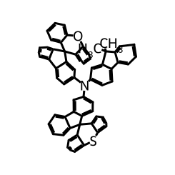 CC1(C)c2ccccc2-c2ccc(N(c3ccc4c(c3)-c3ccccc3C43c4ccccc4Sc4ccccc43)c3ccc4c(c3)C3(c5ccccc5Oc5ccccc53)c3ccccc3-4)cc21